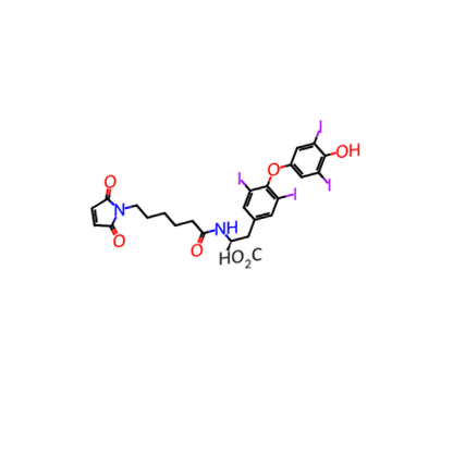 O=C(CCCCCN1C(=O)C=CC1=O)N[C@@H](Cc1cc(I)c(Oc2cc(I)c(O)c(I)c2)c(I)c1)C(=O)O